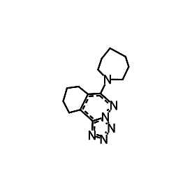 C1CCCN(c2nn3nnnc3c3c2CCCC3)CC1